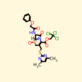 Cc1cc(C)nc(SCC2=C(C(=O)OCC(Cl)(Cl)Cl)N3C(=O)C(NC(=O)COc4ccccc4)[C@@H]3[S+]([O-])C2)n1